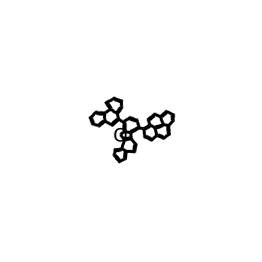 c1ccc2c(c1)cc(-c1ccc(-c3ccc4ccc5cccc6ccc3c4c56)c3c1oc1c4ccccc4ccc13)c1ccccc12